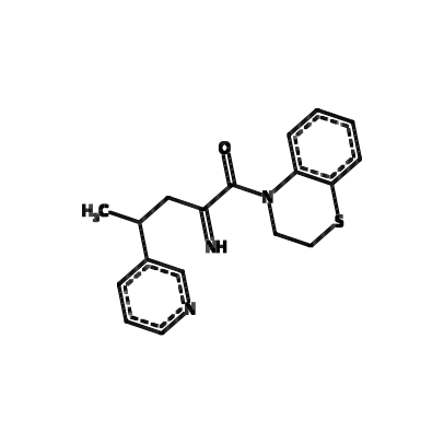 CC(CC(=N)C(=O)N1CCSc2ccccc21)c1cccnc1